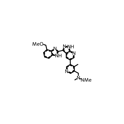 CNN(C)Cc1cncc(-c2cnc3[nH]nc(-c4nc5c(COC)cccc5[nH]4)c3c2)c1C